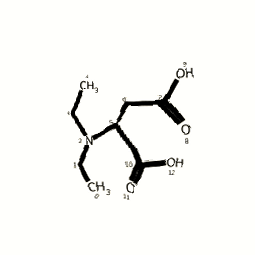 CCN(CC)[C@@H](CC(=O)O)C(=O)O